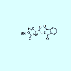 CC(NC(=O)OC(C)(C)C)C(=O)CN1C(=O)c2ccccc2C1=O